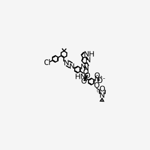 CC1(C)CCC(CN2CCN(c3ccc(C(=O)NS(=O)(=O)c4ccc(OC[C@@H]5CN(C6CC6)CCO5)c([N+](=O)[O-])c4)c(-n4ncc5nc6[nH]ccc6cc54)c3)CC2)=C(c2ccc(Cl)cc2)C1